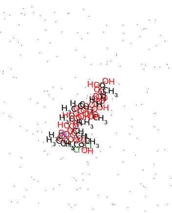 COC[C@H]1O[C@@H](O[C@@H]2OC[C@@H]3O[C@@]4(OC[C@@H](OC(=O)c5c(C)cc(O)cc5O)[C@@H]5OCO[C@H]54)O[C@H]3[C@H]2O)[C@@H](OC)[C@@H](O)[C@@H]1O[C@@H]1O[C@H](C)[C@H](OC)[C@H](O[C@@H]2O[C@H](C)[C@H]3O[C@]4(C[C@@H](O)[C@H](O[C@H]5C[C@@H](O[C@H]6C[C@](C)([N+](=O)[O-])[C@@H](OC)[C@H](C)O6)[C@H](OC(=O)c6c(C)c(Cl)c(O)c(Cl)c6OC)[C@@H](C)O5)[C@@H](C)O4)O[C@]3(C)[C@@H]2O)[C@H]1O